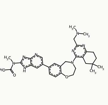 CN(C)Cc1nc2c(c(N3CCOc4ccc(-c5cnc6nc(N(C)C(=O)O)[nH]c6c5)cc4C3)n1)CC(C)(C)CC2